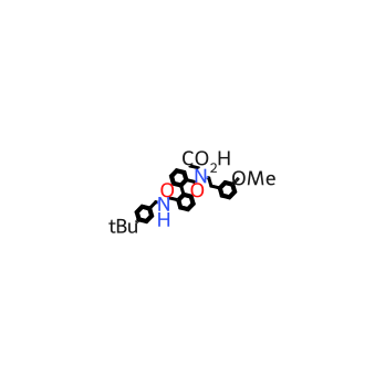 COc1cccc(CCN(CCC(=O)O)C(=O)c2ccccc2-c2ccccc2C(=O)NCc2ccc(C(C)(C)C)cc2)c1